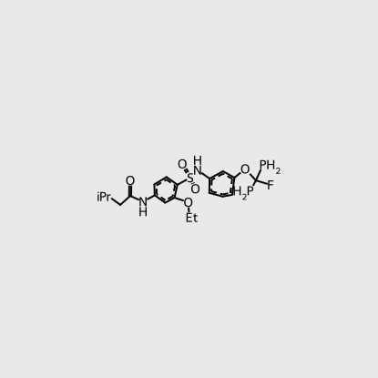 CCOc1cc(NC(=O)CC(C)C)ccc1S(=O)(=O)Nc1cccc(OC(F)(P)P)c1